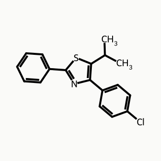 CC(C)c1sc(-c2ccccc2)nc1-c1ccc(Cl)cc1